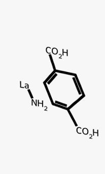 O=C(O)c1ccc(C(=O)O)cc1.[NH2][La]